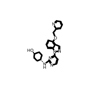 O[C@H]1CC[C@H](Nc2nccc(-n3ncc4c(OCc5ccccn5)cccc43)n2)CC1